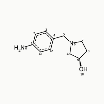 Nc1ccc(CN2CC[C@@H](O)C2)cc1